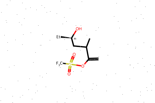 C=C(OS(=O)(=O)C(F)(F)F)C(C)C[C@H](O)CC